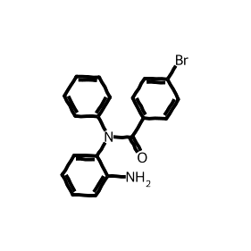 Nc1ccccc1N(C(=O)c1ccc(Br)cc1)c1ccccc1